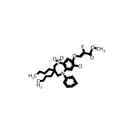 CCCCC1(CCCC)CN(c2ccccc2)c2cc(Cl)c(O/C=C(\F)C(=O)OC)cc2S(=O)(=O)C1